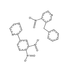 O=[N+]([O-])c1ccc(-c2ccccn2)cc1[N+](=O)[O-].O=[N+]([O-])c1ccncc1Cc1ccccc1